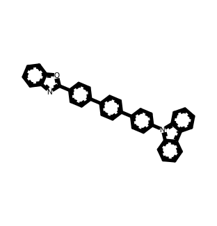 c1ccc2oc(-c3ccc(-c4ccc(-c5ccc(-n6c7ccccc7c7ccccc76)cc5)cc4)cc3)nc2c1